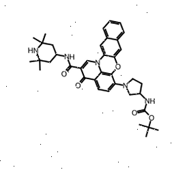 CC1(C)CC(NC(=O)c2cn3c4c(c(N5CCC(NC(=O)OC(C)(C)C)C5)ccc4c2=O)Oc2cc4ccccc4cc2-3)CC(C)(C)N1